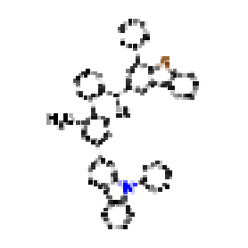 CCC(c1cc(-c2ccccc2)c2sc3ccccc3c2c1)c1ccccc1-c1ccc(-c2ccc3c4ccccc4n(-c4ccccc4)c3c2)cc1C